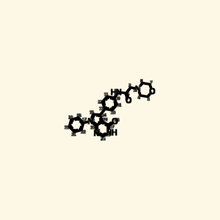 O=C(CN1CCOCC1)Nc1ccc(-c2cn(-c3ccccc3)c3nc[nH]c(=O)c23)cc1